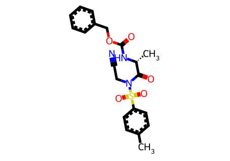 Cc1ccc(S(=O)(=O)N(CC#N)C(=O)[C@@H](C)NC(=O)OCc2ccccc2)cc1